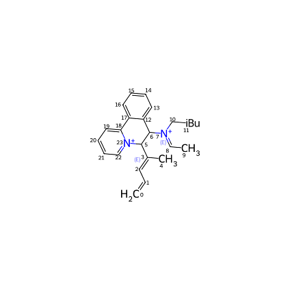 C=C/C=C(\C)C1C(/[N+](=C/C)CC(C)CC)c2ccccc2-c2cccc[n+]21